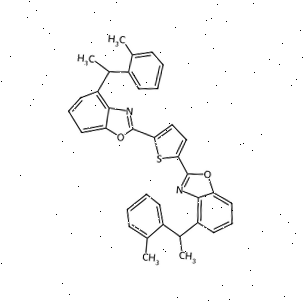 Cc1ccccc1C(C)c1cccc2oc(-c3ccc(-c4nc5c(C(C)c6ccccc6C)cccc5o4)s3)nc12